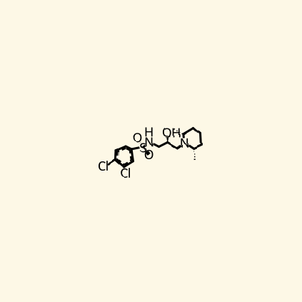 C[C@@H]1CCC[C@H](C)N1C[C@H](O)CNS(=O)(=O)c1ccc(Cl)c(Cl)c1